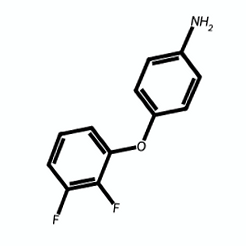 Nc1ccc(Oc2cccc(F)c2F)cc1